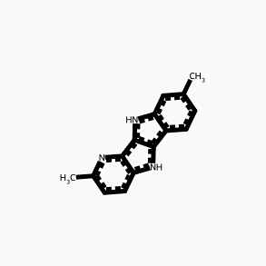 Cc1ccc2c(c1)[nH]c1c3nc(C)ccc3[nH]c21